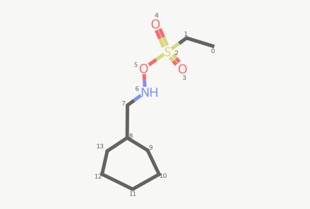 CCS(=O)(=O)ONCC1CCCCC1